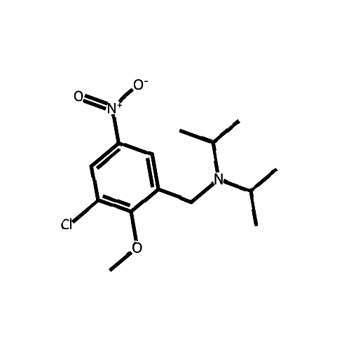 COc1c(Cl)cc([N+](=O)[O-])cc1CN(C(C)C)C(C)C